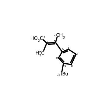 CC(C(=O)O)=C(C)c1cccc(C(C)(C)C)c1